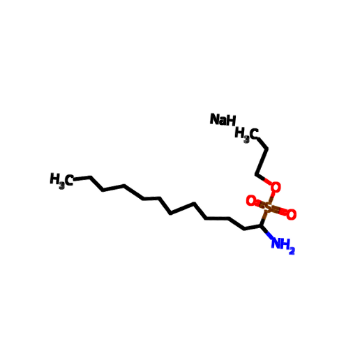 CCCCCCCCCCCC(N)S(=O)(=O)OCCC.[NaH]